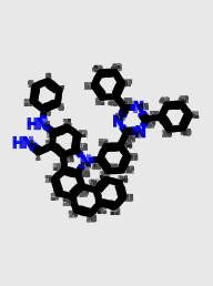 N=Cc1c(Nc2ccccc2)ccc2c1c1ccc3ccc4ccccc4c3c1n2-c1cccc(-c2nc(-c3ccccc3)nc(-c3ccccc3)n2)c1